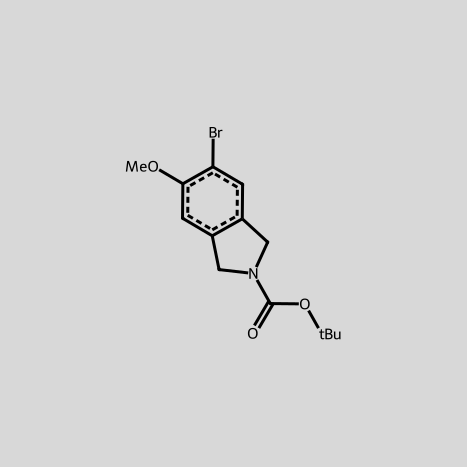 COc1cc2c(cc1Br)CN(C(=O)OC(C)(C)C)C2